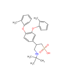 Cc1ccccc1Oc1ccc(C(CNC(C)(C)C)CS(=O)(=O)O)cc1Oc1ccccc1C